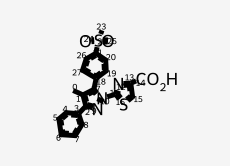 Cc1c(-c2ccccc2)nn(-c2nc(C(=O)O)cs2)c1-c1ccc(S(C)(=O)=O)cc1